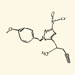 C#CCC(O)c1cc([N+](=O)[O-])nn1Cc1ccc(OC)cc1